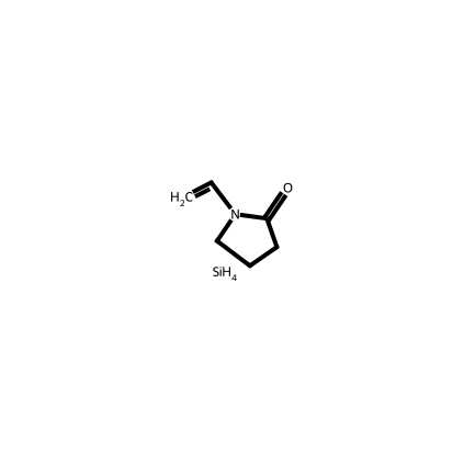 C=CN1CCCC1=O.[SiH4]